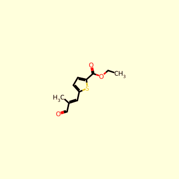 CCOC(=O)c1ccc(/C=C(\C)C=O)s1